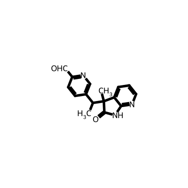 CC(c1ccc(C=O)nc1)C1(C)C(=O)Nc2ncccc21